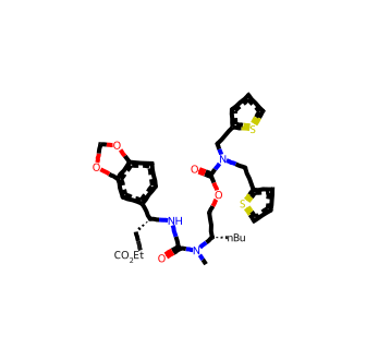 CCCC[C@@H](COC(=O)N(Cc1cccs1)Cc1cccs1)N(C)C(=O)N[C@H](CC(=O)OCC)c1ccc2c(c1)OCO2